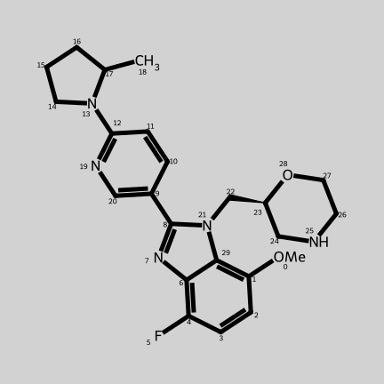 COc1ccc(F)c2nc(-c3ccc(N4CCCC4C)nc3)n(C[C@@H]3CNCCO3)c12